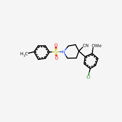 COc1ccc(Cl)cc1C1(C#N)CCN(S(=O)(=O)c2ccc(C)cc2)CC1